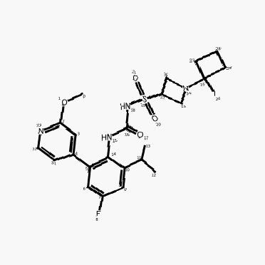 COc1cc(-c2cc(F)cc(C(C)C)c2NC(=O)NS(=O)(=O)C2CN(C3(I)CCC3)C2)ccn1